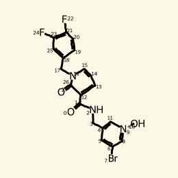 O=C(NCc1cc(Br)c[n+](O)c1)c1cccn(Cc2ccc(F)c(F)c2)c1=O